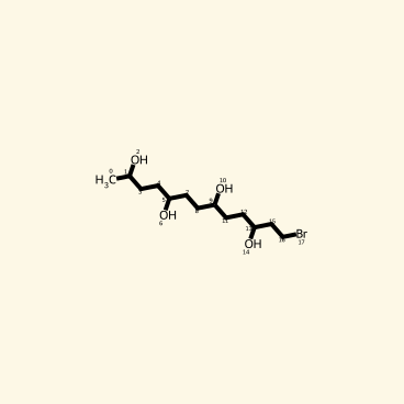 CC(O)CCC(O)CCC(O)CCC(O)CCBr